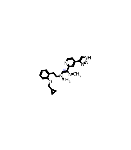 C=N/C(=C\N(C)CCc1ccccc1OCC1CC1)c1cc(-c2c[nH]nn2)ccn1